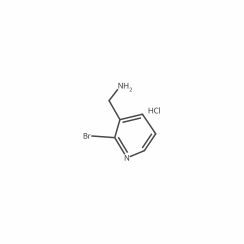 Cl.NCc1cccnc1Br